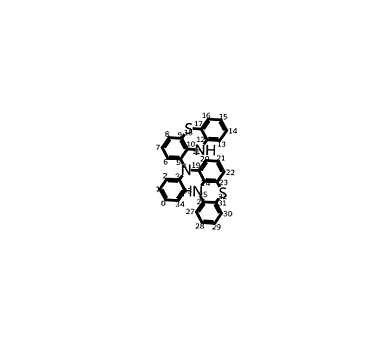 c1ccc(N(c2cccc3c2Nc2ccccc2S3)c2cccc3c2Nc2ccccc2S3)cc1